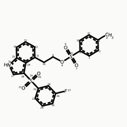 Cc1ccc(S(=O)(=O)OCCc2cccc3[nH]cc(S(=O)(=O)c4cccc(F)c4)c23)cc1